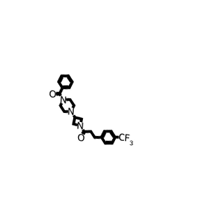 O=C(CCc1ccc(C(F)(F)F)cc1)N1CC(N2CCN(C(=O)c3ccccc3)CC2)C1